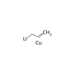 [Cu].[Li][CH2]C=C